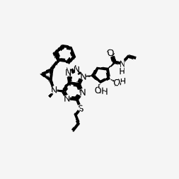 CCCSc1nc(N(C)C2CC2c2ccccc2)c2nnn([C@H]3C[C@@H](C(=O)NCC)[C@H](O)[C@@H]3O)c2n1